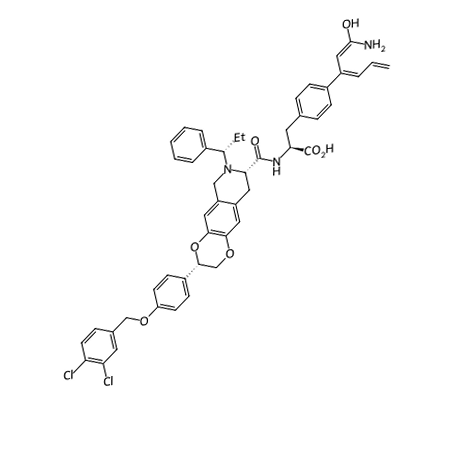 C=C/C=C(\C=C(/N)O)c1ccc(C[C@H](NC(=O)[C@@H]2Cc3cc4c(cc3CN2[C@@H](CC)c2ccccc2)O[C@@H](c2ccc(OCc3ccc(Cl)c(Cl)c3)cc2)CO4)C(=O)O)cc1